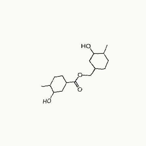 CC1CCC(COC(=O)C2CCC(C)C(O)C2)CC1O